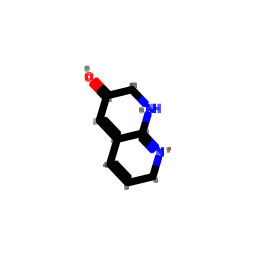 O=C1C=C2C=CCN=C2NC1